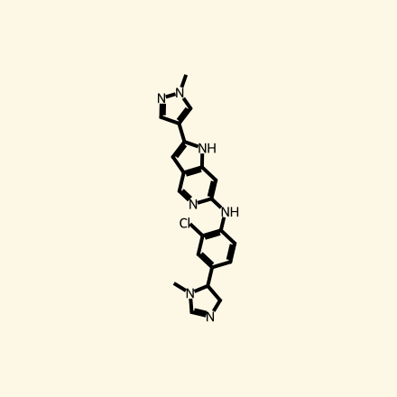 CN1C=NCC1c1ccc(Nc2cc3[nH]c(-c4cnn(C)c4)cc3cn2)c(Cl)c1